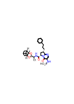 CC[C@H](NC(=O)[C@@H]1C[C@H](CCCc2ccccc2)c2ncc(NC(=O)O)c(=O)n21)B1O[C@@H]2CC3C[C@@H](C3(C)C)[C@]2(C)O1